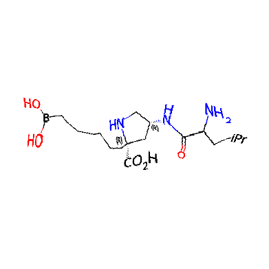 CC(C)CC(N)C(=O)N[C@H]1CN[C@@](CCCCB(O)O)(C(=O)O)C1